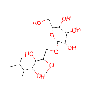 COC(COC1OC(CO)C(O)C(O)C1O)C(O)C(O)C(C)C(C)C